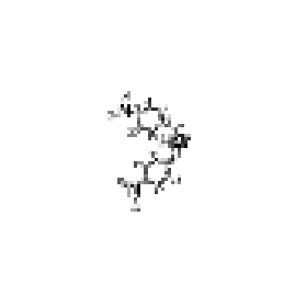 CN(C)c1ccc(C=[N+]=Cc2ccc(N(C)C)cc2)cc1.Cl